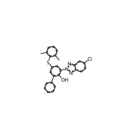 Cc1cccc(C)c1Sc1cc(-c2ccccc2)c(O)c(-n2nc3ccc(Cl)cc3n2)c1